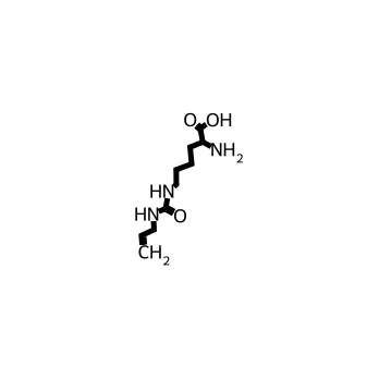 C=CCNC(=O)NCCCCC(N)C(=O)O